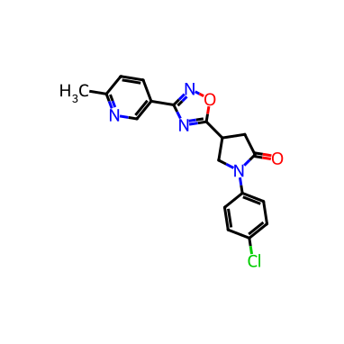 Cc1ccc(-c2noc(C3CC(=O)N(c4ccc(Cl)cc4)C3)n2)cn1